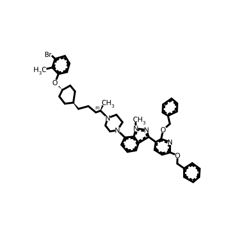 Cc1c(Br)cccc1O[C@H]1CC[C@H](CCC[C@@H](C)N2CCN(c3cccc4c(-c5ccc(OCc6ccccc6)nc5OCc5ccccc5)nn(C)c34)CC2)CC1